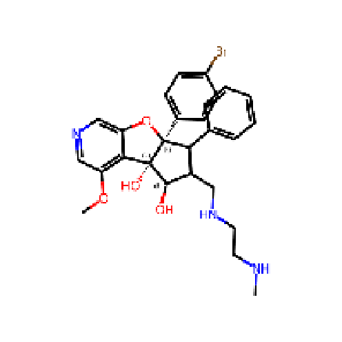 CNCCNCC1C(c2ccccc2)[C@]2(c3ccc(Br)cc3)Oc3cncc(OC)c3[C@]2(O)[C@@H]1O